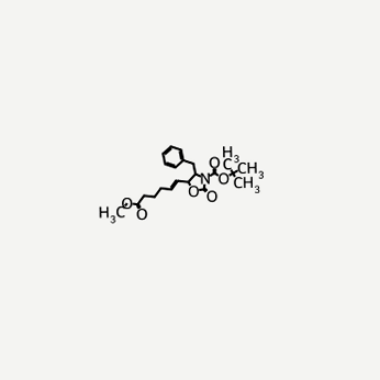 COC(=O)CCCC=CC1OC(=O)N(C(=O)OC(C)(C)C)C1Cc1ccccc1